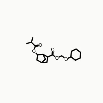 CC(C)C(=O)OC1CC2CC(C(=O)OCOC3CCCCC3)C1C2